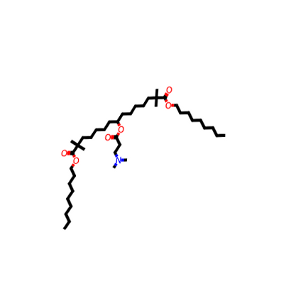 CCCCCCCCCOC(=O)C(C)(C)CCCCCC(CCCCCC(C)(C)C(=O)OCCCCCCCCC)OC(=O)CCN(C)C